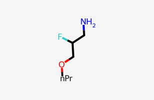 CCCOCC(F)CN